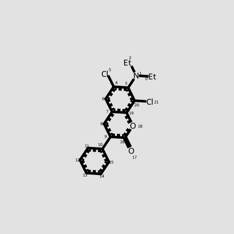 CCN(CC)c1c(Cl)cc2cc(-c3ccccc3)c(=O)oc2c1Cl